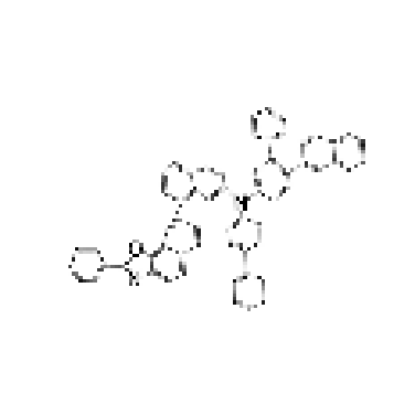 c1ccc(-c2ccc(N(c3ccc(-c4ccc5ccccc5c4)c(-c4ccccc4)c3)c3ccc4cccc(-c5ccc6ccc7nc(-c8ccccc8)oc7c6c5)c4c3)cc2)cc1